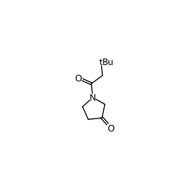 CC(C)(C)CC(=O)N1CCC(=O)C1